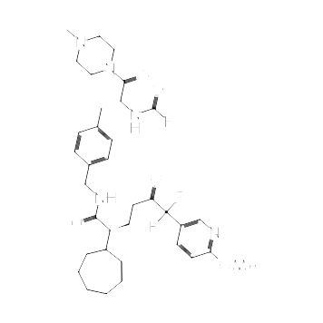 CCC(=O)N[C@H](Cc1ccc(CNC(=O)[C@@H](CCC(=O)C(F)(F)c2ccc(OC)nc2)C2CCCCCC2)cc1)C(=O)N1CCN(C)CC1